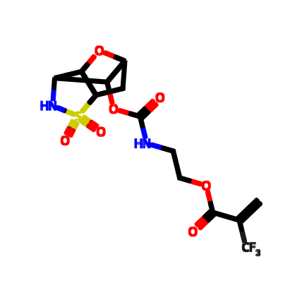 C=C(C(=O)OCCNC(=O)OC1C2CC3C(O2)C1NS3(=O)=O)C(F)(F)F